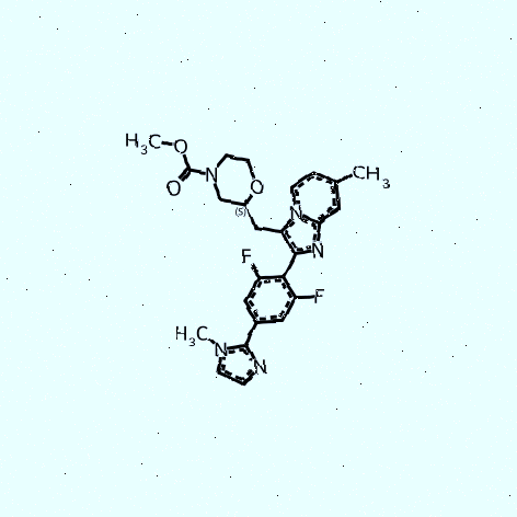 COC(=O)N1CCO[C@@H](Cc2c(-c3c(F)cc(-c4nccn4C)cc3F)nc3cc(C)ccn23)C1